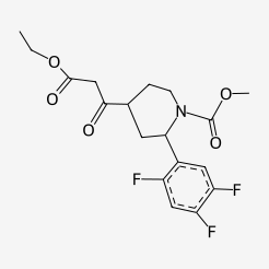 CCOC(=O)CC(=O)C1CCN(C(=O)OC)C(c2cc(F)c(F)cc2F)C1